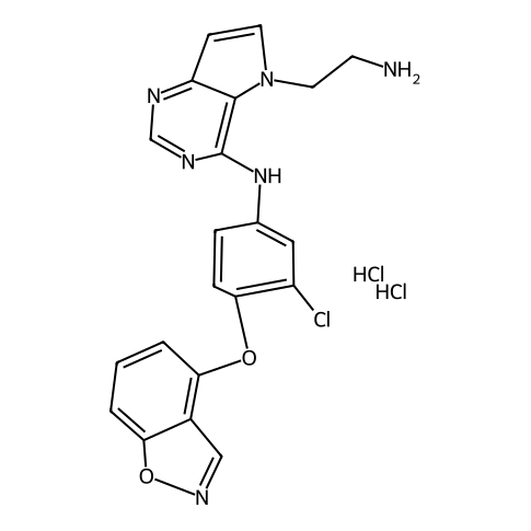 Cl.Cl.NCCn1ccc2ncnc(Nc3ccc(Oc4cccc5oncc45)c(Cl)c3)c21